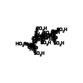 CC1(CS(=O)(=O)O)C(/C=C/C=C2/N(CCCCCC(=O)O)c3ccc4cc(-c5cc(C(=O)NCCS(=O)(=O)O)nc(C(=O)NCCS(=O)(=O)O)c5)ccc4c3C2(C)C)=[N+](CCCS(=O)(=O)O)c2ccc3cc(-c4cc(C(=O)NCCS(=O)(=O)O)nc(C(=O)NCCS(=O)(=O)O)c4)ccc3c21